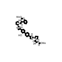 COC(=O)N[C@H](C(=O)N1CCC[C@H]1c1ncc(-c2ccc(-c3ccc(-c4cnc([C@@H]5CCCN5C(=O)[C@H](NC(=O)OC)c5ccccc5)[nH]4)cc3)cc2)[nH]1)C(C)C.Cl